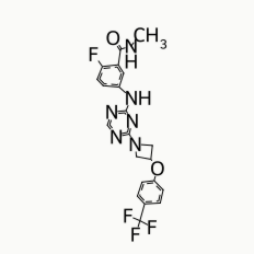 CNC(=O)c1cc(Nc2ncnc(N3CC(Oc4ccc(C(F)(F)F)cc4)C3)n2)ccc1F